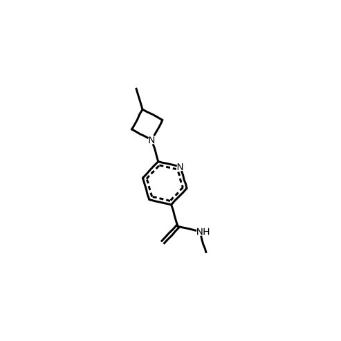 C=C(NC)c1ccc(N2CC(C)C2)nc1